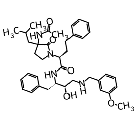 COc1cccc(CNC[C@@H](O)[C@H](Cc2ccccc2)NC(=O)[C@H](CCc2ccccc2)N2CCC(CC(C)C)(NC(C)=O)C2=O)c1